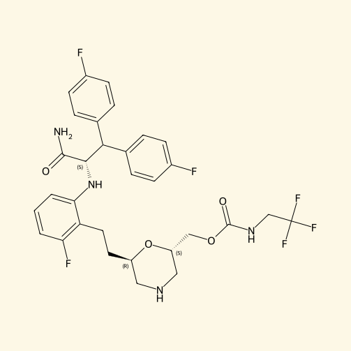 NC(=O)[C@@H](Nc1cccc(F)c1CC[C@@H]1CNC[C@@H](COC(=O)NCC(F)(F)F)O1)C(c1ccc(F)cc1)c1ccc(F)cc1